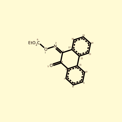 CCOC(=O)ON=C1C(=O)c2ccccc2-c2ccccc21